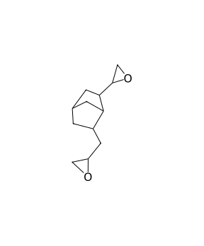 C1OC1CC1CC2CC1C(C1CO1)C2